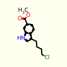 COC(=O)c1ccc2c(CCCCCl)c[nH]c2c1